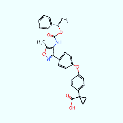 Cc1onc(-c2ccc(Oc3ccc(C4(C(=O)O)CC4)cc3)cc2)c1NC(=O)O[C@H](C)c1ccccc1